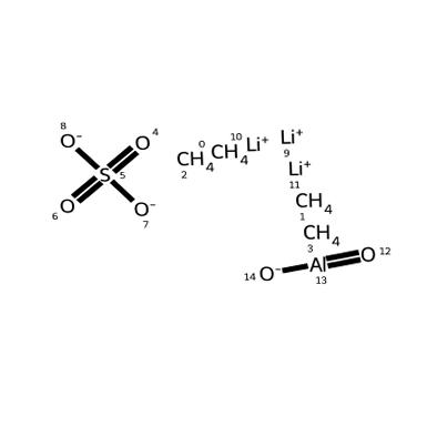 C.C.C.C.O=S(=O)([O-])[O-].[Li+].[Li+].[Li+].[O]=[Al][O-]